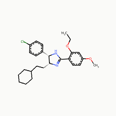 CCOc1cc(OC)ccc1C1=N[C@H](CCC2CCCCC2)[C@H](c2ccc(Cl)cc2)N1